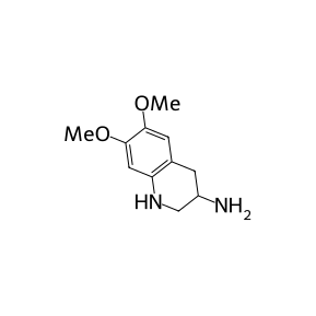 COc1cc2c(cc1OC)NCC(N)C2